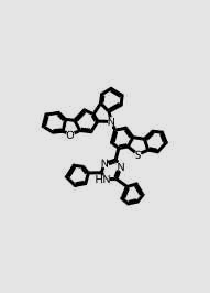 c1ccc(C2=NC(c3cc(-n4c5ccccc5c5cc6c(cc54)oc4ccccc46)cc4c3sc3ccccc34)=NC(c3ccccc3)N2)cc1